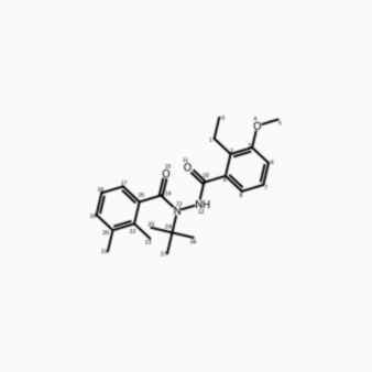 CCc1c(OC)cccc1C(=O)NN(C(=O)c1cccc(C)c1C)C(C)(C)C